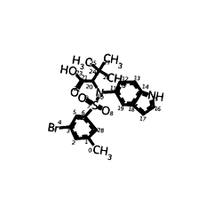 Cc1cc(Br)cc(S(=O)(=O)N(c2ccc3[nH]ccc3c2)C(C(=O)O)C(C)(C)C)c1